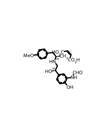 COc1ccc(C[C@@H](C)NC[C@H](O)c2ccc(O)c(NC=O)c2)cc1.O=C(O)/C=C\C(=O)O